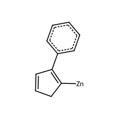 [Zn][C]1=C(c2ccccc2)C=CC1